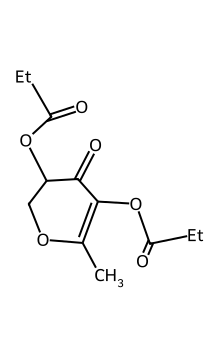 CCC(=O)OC1=C(C)OCC(OC(=O)CC)C1=O